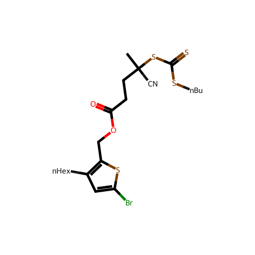 CCCCCCc1cc(Br)sc1COC(=O)CCC(C)(C#N)SC(=S)SCCCC